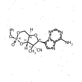 CC(C)O[P@@]1(=O)OC[C@H]2O[C@@H](c3cnc4c(N)ncnn34)[C@](C)(C#N)[C@@H]2O1